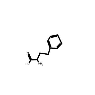 NC(CCc1ccccc1)C(=O)O